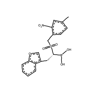 Cc1ccc(CS(=O)(=O)[C@@H](Cc2coc3ccccc23)B(O)O)c([N+](=O)[O-])c1